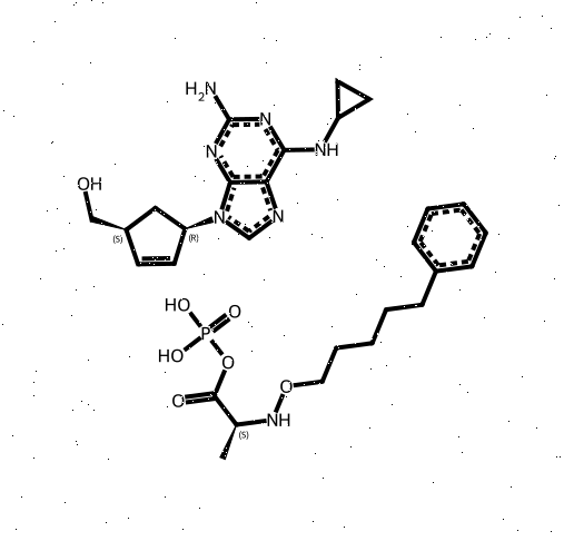 C[C@H](NOCCCCCc1ccccc1)C(=O)OP(=O)(O)O.Nc1nc(NC2CC2)c2ncn([C@H]3C=C[C@@H](CO)C3)c2n1